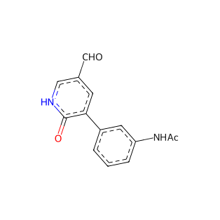 CC(=O)Nc1cccc(-c2cc(C=O)c[nH]c2=O)c1